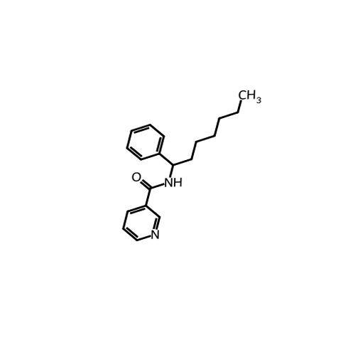 CCCCCCC(NC(=O)c1cccnc1)c1ccccc1